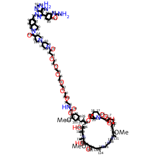 CO[C@H]1C[C@@H]2CC[C@@H](C)[C@@](O)(O2)C(=O)C(=O)N2CCCC[C@H]2C(=O)O[C@H]([C@H](C)C[C@@H]2CC[C@@H](OC(=O)NCCOCCOCCOCCOCCOCCOCCC(=O)N3CCC(N4CCC(C(=O)N5CCc6cc(Cn7nc(-c8ccc9oc(N)nc9c8)c8c(N)ncnc87)ccc6C5)CC4)CC3)[C@H](OC)C2)C[C@@H](O)[C@H](C)/C=C(\C)[C@@H](O)[C@@H](OC)C(=O)[C@H](C)C[C@H](C)/C=C/C=C/C=C/1C